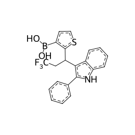 OB(O)c1ccsc1C(CC(F)(F)F)c1c(-c2ccccc2)[nH]c2ccccc12